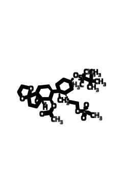 CC(=O)O[C@@H]1[C@H]([C@@]2(C)CC[C@H](O[Si](C)(C)C(C)(C)C)C[C@@H]2CCOS(C)(=O)=O)CC[C@@]2(C)[C@@H]1CCC21OCCO1